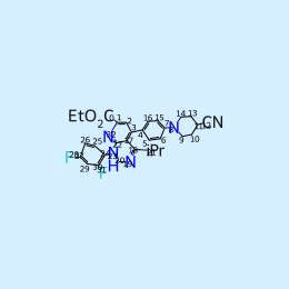 CCOC(=O)c1cc(-c2ccc(N3CCC(C#N)CC3)cc2)c(/C(=N\C)C(C)C)c(Nc2ccc(F)cc2F)n1